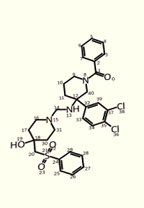 O=C(c1ccccc1)N1CCCC(NCN2CCC(O)(CS(=O)(=O)c3ccccc3)CC2)(c2ccc(Cl)c(Cl)c2)C1